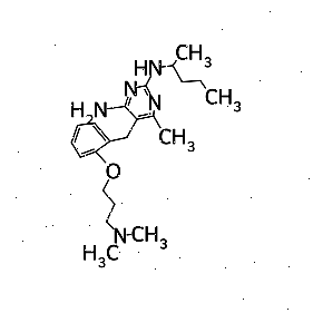 CCCC(C)Nc1nc(C)c(Cc2ccccc2OCCCN(C)C)c(N)n1